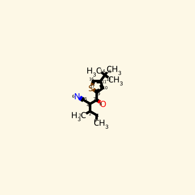 CCC(C)C(C#N)C(=O)c1cc(C(C)(C)C)cs1